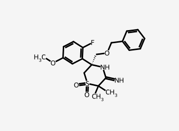 COc1ccc(F)c([C@]2(COCc3ccccc3)CS(=O)(=O)C(C)(C)C(=N)N2)c1